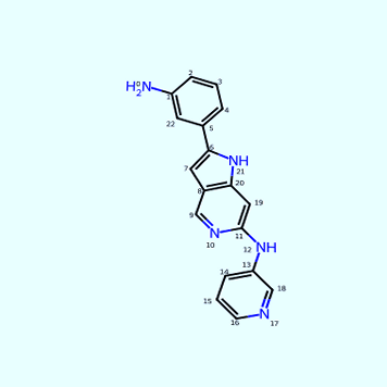 Nc1cccc(-c2cc3cnc(Nc4cccnc4)cc3[nH]2)c1